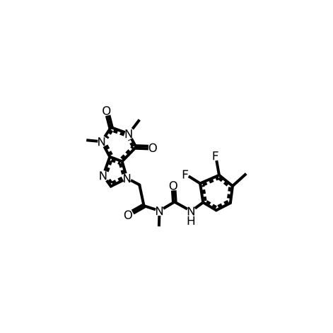 Cc1ccc(NC(=O)N(C)C(=O)Cn2cnc3c2c(=O)n(C)c(=O)n3C)c(F)c1F